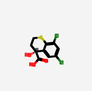 O=C(O)[C@@]1(O)CCSc2c(Cl)cc(Cl)cc21